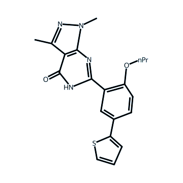 CCCOc1ccc(-c2cccs2)cc1-c1nc2c(c(C)nn2C)c(=O)[nH]1